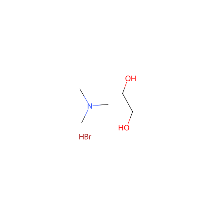 Br.CN(C)C.OCCO